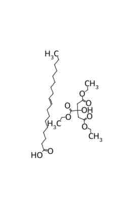 CCCCCCCCC=CCCCCCCCC(=O)O.CCOC(=O)CC(O)(CC(=O)OCC)C(=O)OCC